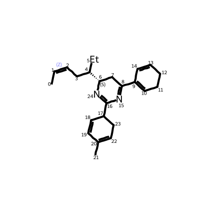 C/C=C\CC(CC)[C@@H]1CC(C2=CCCC=C2)=NC(C2C=CC(C)=CC2)=N1